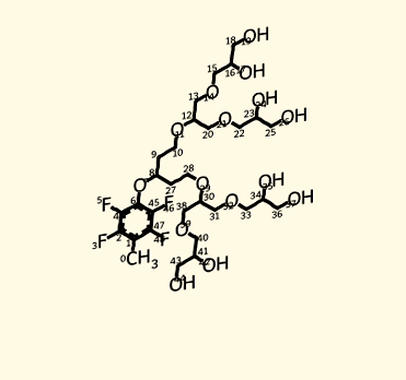 Cc1c(F)c(F)c(OC(CCOC(COCC(O)CO)COCC(O)CO)CCOC(COCC(O)CO)COCC(O)CO)c(F)c1F